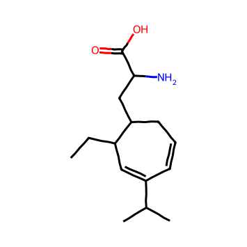 CCC1C=C(C(C)C)C=CCC1CC(N)C(=O)O